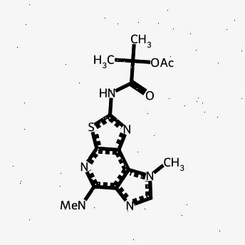 CNc1nc2sc(NC(=O)C(C)(C)OC(C)=O)nc2c2c1ncn2C